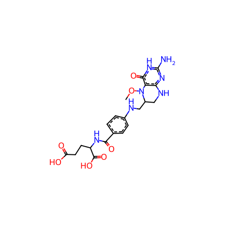 CON1c2c(nc(N)[nH]c2=O)NCC1CNc1ccc(C(=O)NC(CCC(=O)O)C(=O)O)cc1